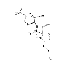 CCCCCNC1(OC)C(=O)N2C(C(=O)O)=C(COC(C)=O)CS[C@@H]21